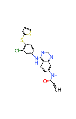 C#CC(=O)Nc1ccc2c(Nc3ccc(Sc4cccs4)c(Cl)c3)ncnc2c1